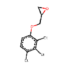 CCc1ccc(OCC2CO2)c(CC)c1CC